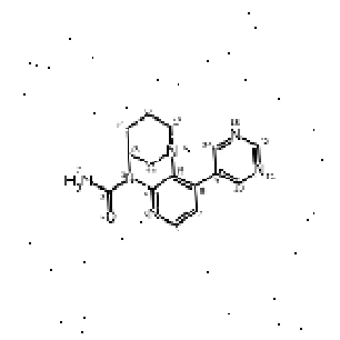 NC(=O)N1c2nccc(-c3cncnc3)c2N2CCCC1C2